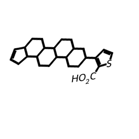 O=C(O)c1sccc1C1CCC2C(CCC3C2CCC2C4CC=CC4CCC23)C1